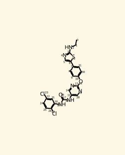 CCNc1ncc(-c2ccc(Oc3ncc(NC(=O)Nc4cc(Cl)ccc4Cl)cn3)cc2)s1